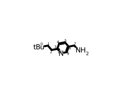 CC(C)(C)CCc1ccc(CN)cn1